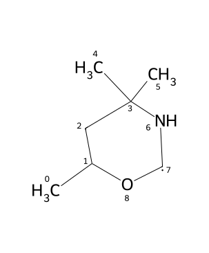 CC1CC(C)(C)N[CH]O1